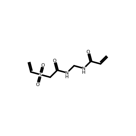 C=CC(=O)NCNC(=O)CS(=O)(=O)C=C